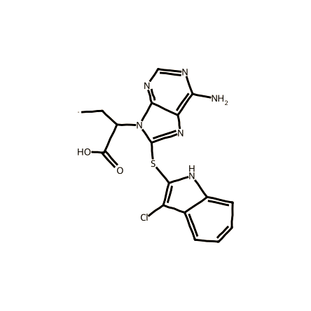 [CH2]CC(C(=O)O)n1c(Sc2[nH]c3ccccc3c2Cl)nc2c(N)ncnc21